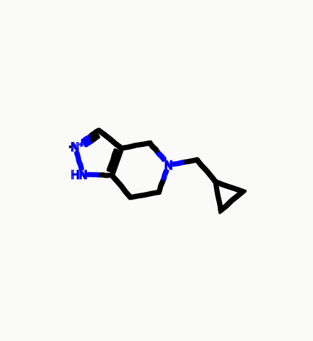 C1=[N+]NC2=C1CN(CC1CC1)CC2